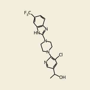 CC(O)c1cnc(N2CCN(c3nc4ccc(C(F)(F)F)cc4[nH]3)CC2)c(Cl)c1